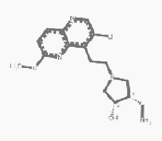 COc1ccc2ncc(Cl)c(CCN3C[C@H](CN)[C@H](O)C3)c2n1